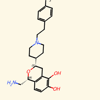 NC[C@@H]1O[C@H](C2CCN(CCc3ccc(C(F)(F)F)cc3)CC2)Cc2c1ccc(O)c2O